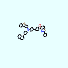 C1=c2sc3ccccc3c2=CC(N(c2ccc(-c3ccc4c(c3)oc3ccc5sc(-c6ccccc6)nc5c34)cc2)c2ccc(-c3cccc4ccccc34)cc2)C1